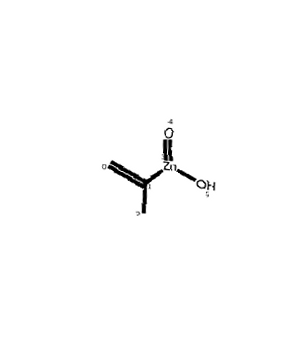 C=[C](C)[Zn](=[O])[OH]